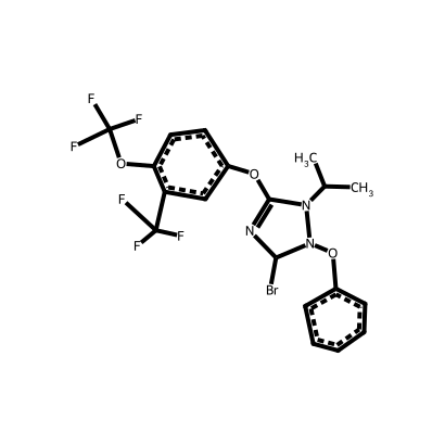 CC(C)N1C(Oc2ccc(OC(F)(F)F)c(C(F)(F)F)c2)=NC(Br)N1Oc1ccccc1